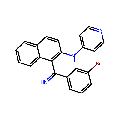 N=C(c1cccc(Br)c1)c1c(Nc2ccncc2)ccc2ccccc12